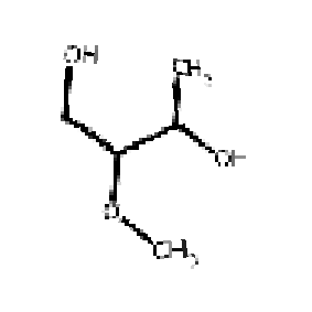 COC(CO)C(C)O